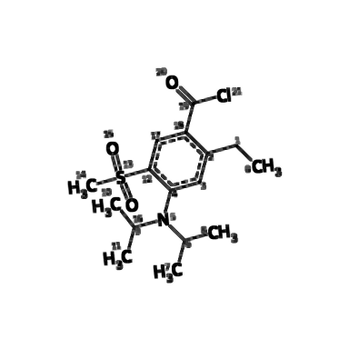 CCc1cc(N(C(C)C)C(C)C)c(S(C)(=O)=O)cc1C(=O)Cl